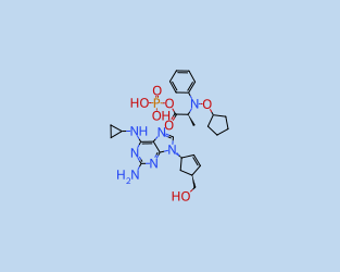 C[C@@H](C(=O)OP(=O)(O)O)N(OC1CCCC1)c1ccccc1.Nc1nc(NC2CC2)c2ncn([C@H]3C=C[C@@H](CO)C3)c2n1